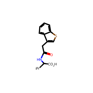 CC(C)C(NC(=O)Cc1csc2ccccc12)C(=O)O